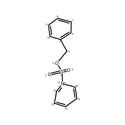 O=S(=O)(OCc1ccccc1)[n+]1ccccc1